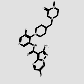 CN1CCN(CC2CCN(c3c(F)cncc3NC(=O)c3c(N)nn4cc(F)cnc34)CC2)CC1=O